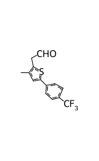 Cc1cc(-c2ccc(C(F)(F)F)cc2)sc1CC=O